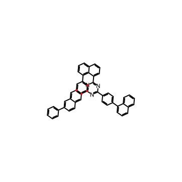 c1ccc(-c2ccc3cc(-c4nc(-c5ccc(-c6cccc7ccccc67)cc5)nc(-c5cccc6cccc(-c7ccccc7)c56)n4)ccc3c2)cc1